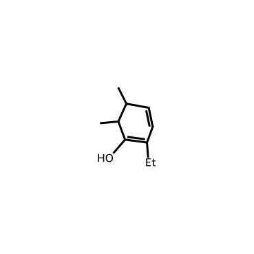 CCC1=C(O)C(C)C(C)C=C1